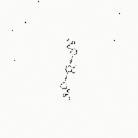 C=CC(=O)Oc1cccc(C#Cc2ccc(C#Cc3cccc(OC(=O)C=C)c3)c(F)c2F)c1